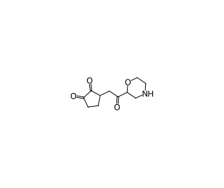 O=C1CCC(CC(=O)C2CNCCO2)C1=O